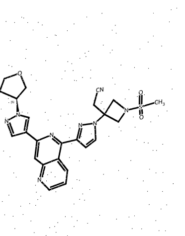 CS(=O)(=O)N1CC(CC#N)(n2ccc(-c3nc(-c4cnn([C@H]5CCOC5)c4)cc4ncccc34)n2)C1